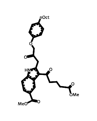 CCCCCCCCc1ccc(OCC(=O)Cc2[nH]c3ccc(C(=O)OC)cc3c2C(=O)CCCC(=O)OC)cc1